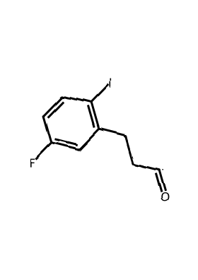 O=[C]CCc1cc(F)ccc1I